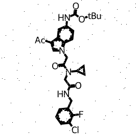 CC(=O)c1cn(CC(=O)N(CC(=O)NCc2cccc(Cl)c2F)C2CC2)c2ccc(NC(=O)OC(C)(C)C)cc12